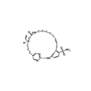 C=C[C@@H]1CCCc2cnc(nc2)Nc2ccc(S(N)(=O)=O)c(c2)CC=CCCCCCNC(=O)O1